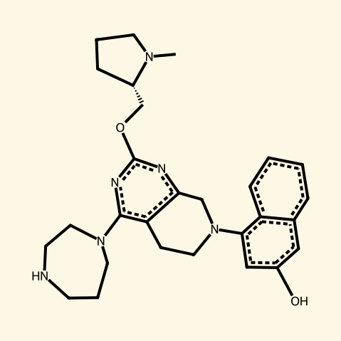 CN1CCC[C@H]1COc1nc2c(c(N3CCCNCC3)n1)CCN(c1cc(O)cc3ccccc13)C2